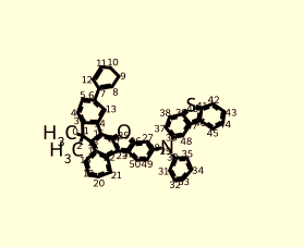 CC1(C)c2ccc(C3=CCCC=C3)cc2-c2c1c1ccccc1c1c2oc2cc(N(c3ccccc3)c3ccc4sc5ccccc5c4c3)ccc21